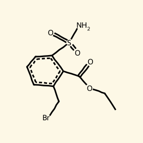 CCOC(=O)c1c(CBr)cccc1S(N)(=O)=O